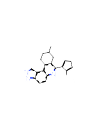 CC1CCc2c(c(C3=CCC=C3C(F)(F)F)nc3ccc4[nH]ncc4c23)C1